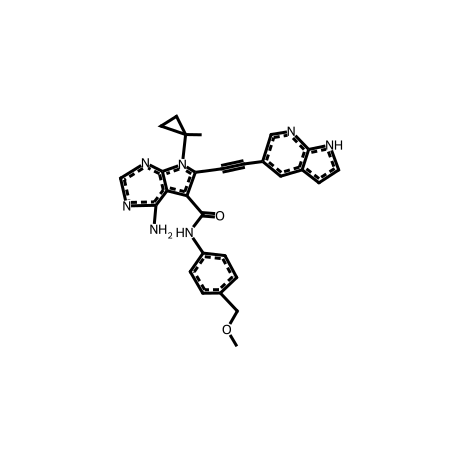 COCc1ccc(NC(=O)c2c(C#Cc3cnc4[nH]ccc4c3)n(C3(C)CC3)c3ncnc(N)c23)cc1